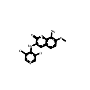 COc1ccc2cc(Nc3c(Cl)cncc3Cl)c(=O)oc2c1O